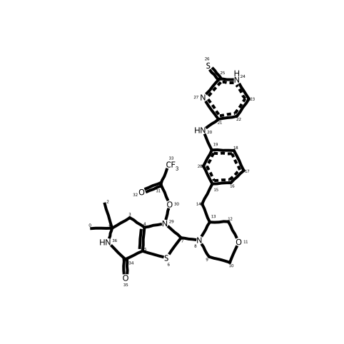 CC1(C)CC2=C(SC(N3CCOCC3Cc3cccc(Nc4cc[nH]c(=S)n4)c3)N2OC(=O)C(F)(F)F)C(=O)N1